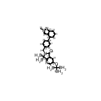 BC(B)(B)Oc1cnc2c(c1)C(=O)N(Cc1ccc(-c3cccc4nn(C)cc34)cc1)C2(B)B